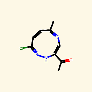 CC(=O)c1cnc(C)ccc(Cl)n[nH]1